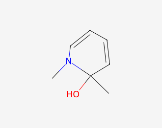 CN1C=CC=CC1(C)O